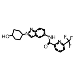 O=C(Nc1ccc2nn(C3CCC(O)CC3)cc2c1)c1cccc(C(F)(F)F)n1